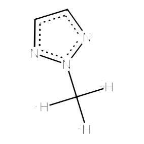 [2H]C([2H])([2H])n1nccn1